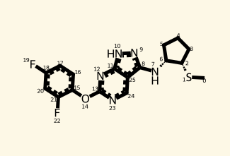 CS[C@H]1CCC[C@H]1Nc1n[nH]c2nc(Oc3ccc(F)cc3F)ncc12